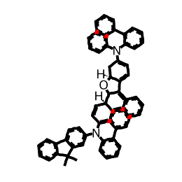 CC1(C)c2ccccc2-c2ccc(N(C3=CC4=c5ccccc5=C5C6=CC=C(N(c7ccccc7)c7ccccc7-c7ccccc7)C[C@@H]6OC5[C@@H]4C=C3)c3ccccc3-c3ccccc3)cc21